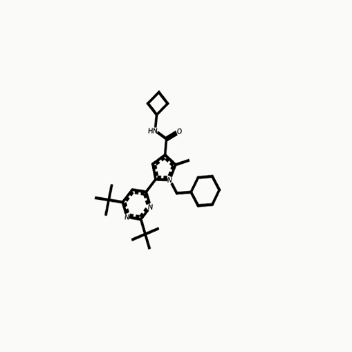 Cc1c(C(=O)NC2CCC2)cc(-c2cc(C(C)(C)C)nc(C(C)(C)C)n2)n1CC1CCCCC1